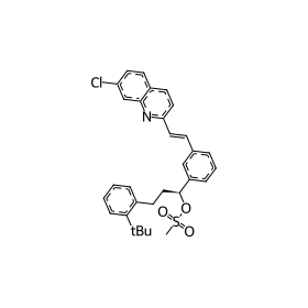 CC(C)(C)c1ccccc1CC[C@H](OS(C)(=O)=O)c1cccc(/C=C/c2ccc3ccc(Cl)cc3n2)c1